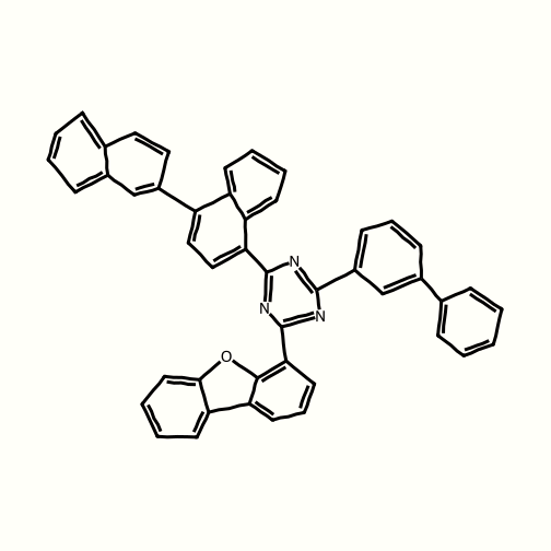 c1ccc(-c2cccc(-c3nc(-c4ccc(-c5ccc6ccccc6c5)c5ccccc45)nc(-c4cccc5c4oc4ccccc45)n3)c2)cc1